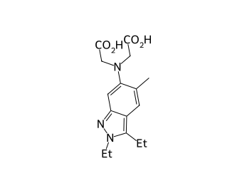 CCc1c2cc(C)c(N(CC(=O)O)CC(=O)O)cc2nn1CC